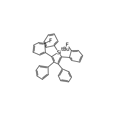 CC(C)(C)[Si]1(c2ccccc2)C(c2ccccc2F)=C(c2ccccc2)C(c2ccccc2)=C1c1ccccc1F